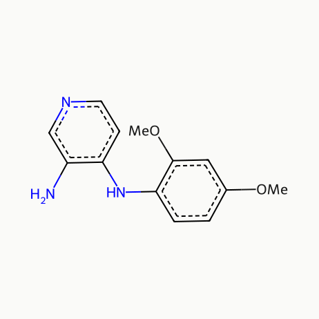 COc1ccc(Nc2ccncc2N)c(OC)c1